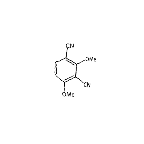 COc1ccc(C#N)c(OC)c1C#N